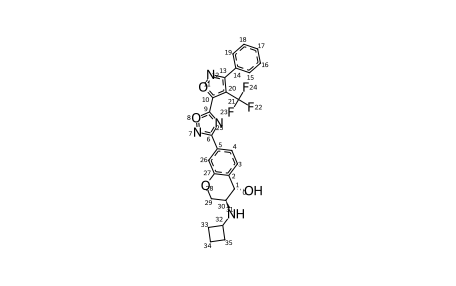 O[C@H]1c2ccc(-c3noc(-c4onc(-c5ccccc5)c4C(F)(F)F)n3)cc2OC[C@@H]1NC1CCC1